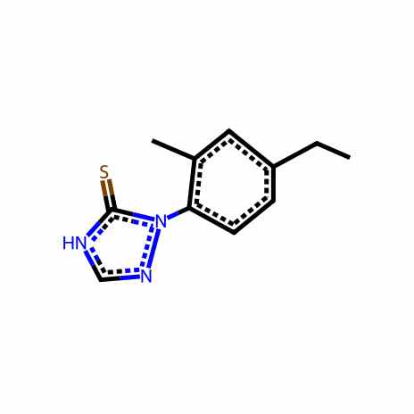 CCc1ccc(-n2nc[nH]c2=S)c(C)c1